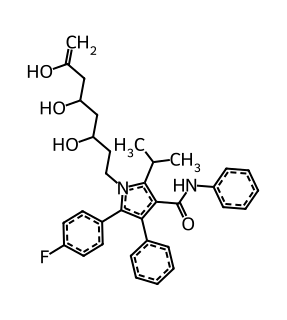 C=C(O)CC(O)CC(O)CCn1c(-c2ccc(F)cc2)c(-c2ccccc2)c(C(=O)Nc2ccccc2)c1C(C)C